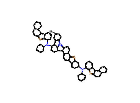 CC(C)(C)c1ccc2c(c1)c1c(N(c3ccccc3)c3cccc4c3sc3ccc5ccccc5c34)ccc3c4c5ccc6c7ccc(N(c8ccccc8)c8cccc9c8sc8ccc%10ccccc%10c89)cc7sc6c5ccc4n2c31